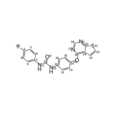 O=C(Nc1ccc(F)cc1)Nc1ccc(Oc2ncnc3sccc23)cc1